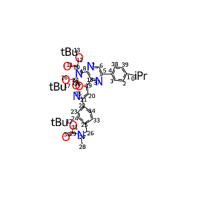 CC(C)c1ccc(-c2cnc(N(C(=O)OC(C)(C)C)C(=O)OC(C)(C)C)c(-c3cc(-c4ccc(CN(C)C(=O)OC(C)(C)C)cc4)no3)n2)cc1